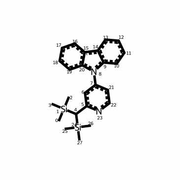 C[Si](C)(C)C(c1cc(-n2c3ccccc3c3ccccc32)ccn1)[Si](C)(C)C